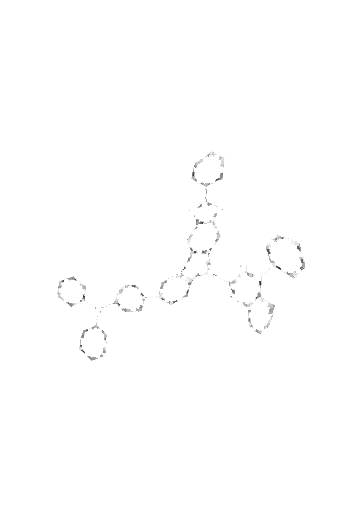 c1ccc(-c2nc3cc4c(cc3o2)c2cc(-c3ccc(N(c5ccccc5)c5ccccc5)cc3)ccc2n4-c2nc(-c3ccccc3)c3ccccc3n2)cc1